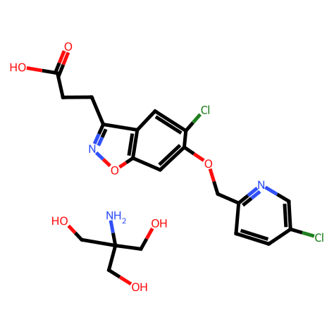 NC(CO)(CO)CO.O=C(O)CCc1noc2cc(OCc3ccc(Cl)cn3)c(Cl)cc12